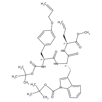 C=CCOc1ccc(C[C@H](NC(=O)OC(C)(C)C)C(=O)N[C@@H](Cc2cn(C(=O)OC(C)(C)C)c3ccccc23)C(=O)N[C@@H](CC=C)C(=O)OC)cc1